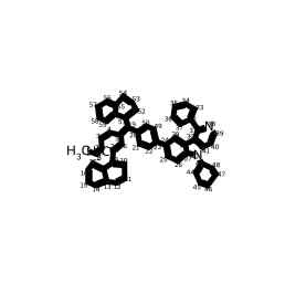 C\C=C/C=C\C(\C=C(/C)c1cccc2ccccc12)=C(\c1ccc(-c2ccc3c(c2)c2c(-c4ccccc4)nccc2n3-c2ccccc2)cc1)c1cccc2ccccc12